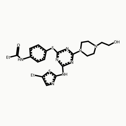 CCC(=O)Nc1ccc(Sc2nc(Nc3ncc(CC)s3)nc(N3CCN(CCO)CC3)n2)cc1